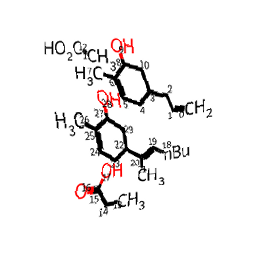 C=CCC1CC=C(C)C(O)C1.CC(=O)O.CCC(=O)O.CCCCC=C(C)C1CC=C(C)C(O)C1